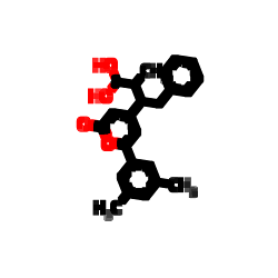 Cc1cc(C)cc(-c2cc(C(Cc3ccccc3)C(C)C(O)O)cc(=O)o2)c1